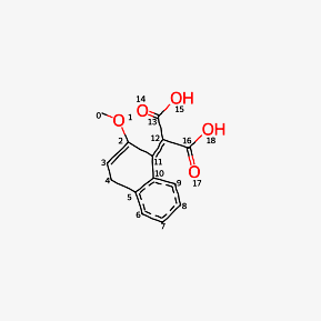 COC1=CCc2ccccc2C1=C(C(=O)O)C(=O)O